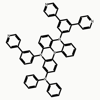 c1ccc(N(c2ccccc2)c2ccc3c(c2)N(c2cccc(-c4ccncc4)c2)c2cccc4c2B3c2ccccc2N4c2cc(-c3ccncc3)cc(-c3ccncc3)c2)cc1